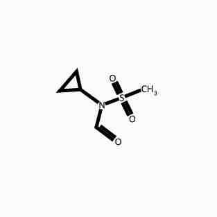 CS(=O)(=O)N(C=O)C1CC1